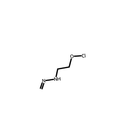 C=NNCCOCl